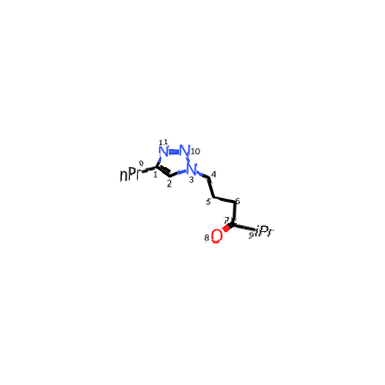 CCCc1cn(CCCC(=O)C(C)C)nn1